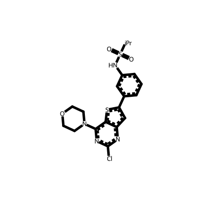 CC(C)S(=O)(=O)Nc1cccc(-c2cc3nc(Cl)nc(N4CCOCC4)c3s2)c1